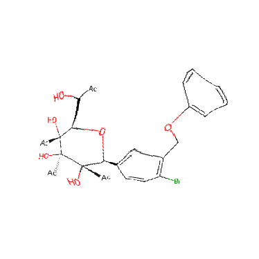 CC(=O)C(O)[C@H]1O[C@@H](c2ccc(Br)c(COc3ccccc3)c2)[C@@](O)(C(C)=O)[C@](O)(C(C)=O)[C@@]1(O)C(C)=O